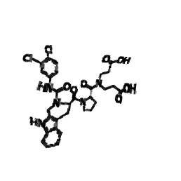 O=C(O)CCN(CCC(=O)O)C(=O)[C@@H]1CCCN1C(=O)[C@H]1Cc2c([nH]c3ccccc23)CN1C(=O)Nc1ccc(Cl)c(Cl)c1